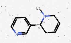 CCN1CC=CC[C@H]1c1cccnc1